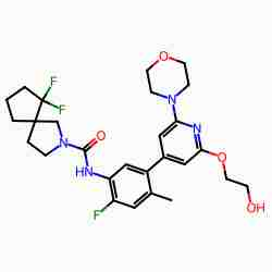 Cc1cc(F)c(NC(=O)N2CCC3(CCCC3(F)F)C2)cc1-c1cc(OCCO)nc(N2CCOCC2)c1